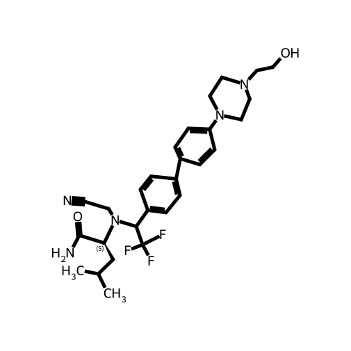 CC(C)C[C@@H](C(N)=O)N(CC#N)C(c1ccc(-c2ccc(N3CCN(CCO)CC3)cc2)cc1)C(F)(F)F